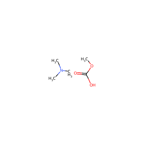 CN(C)C.COC(=O)O